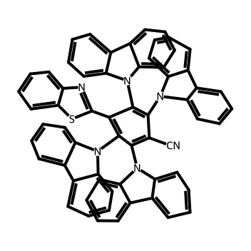 N#Cc1c(-n2c3ccccc3c3ccccc32)c(-n2c3ccccc3c3ccccc32)c(-c2nc3ccccc3s2)c(-n2c3ccccc3c3ccccc32)c1-n1c2ccccc2c2ccccc21